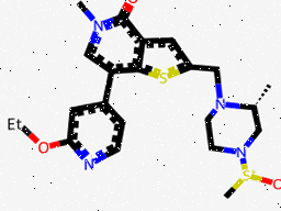 CCOc1cc(-c2cn(C)c(=O)c3cc(CN4CCN([S+](C)[O-])C[C@H]4C)sc23)ccn1